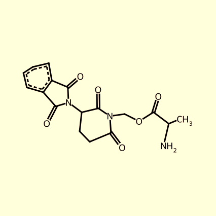 CC(N)C(=O)OCN1C(=O)CCC(N2C(=O)c3ccccc3C2=O)C1=O